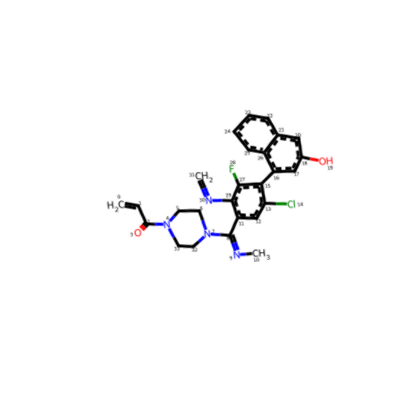 C=CC(=O)N1CCN(/C(=N/C)c2cc(Cl)c(-c3cc(O)cc4ccccc34)c(F)c2N=C)CC1